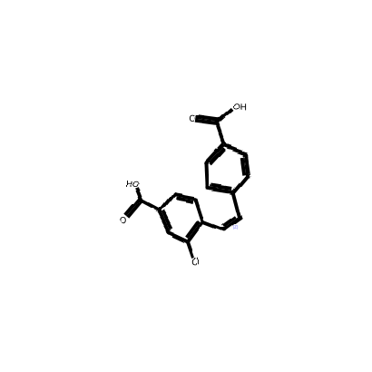 O=C(O)c1ccc(/C=C\c2ccc(C(=O)O)cc2Cl)cc1